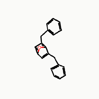 c1ccc(Cc2cc3cc(Cc4ccccc4)c2o3)cc1